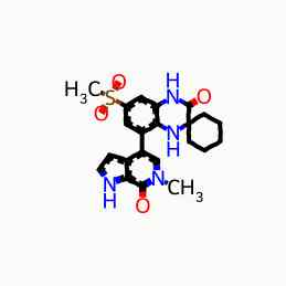 Cn1cc(-c2cc(S(C)(=O)=O)cc3c2NC2(CCCCC2)C(=O)N3)c2cc[nH]c2c1=O